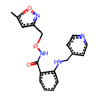 Cc1cc(CONC(=O)c2ccccc2NCc2ccncc2)no1